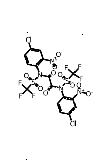 O=C(C(=O)N(c1ccc(Cl)cc1[N+](=O)[O-])S(=O)(=O)C(F)(F)F)N(c1ccc(Cl)cc1[N+](=O)[O-])S(=O)(=O)C(F)(F)F